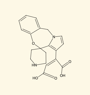 O=C(O)C=C(C(=O)O)c1ccn2c1C1(CCNCC1)Oc1ccccc1C2